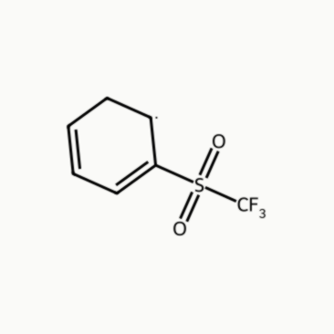 O=S(=O)(C1=CC=CC[CH]1)C(F)(F)F